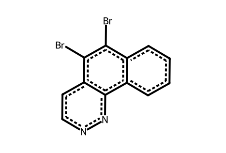 Brc1c(Br)c2ccnnc2c2ccccc12